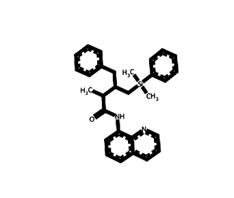 CC(C(=O)Nc1cccc2cccnc12)C(Cc1ccccc1)C[Si](C)(C)c1ccccc1